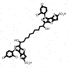 O=S(=O)(O)c1cc2oc3c(C(O)CCCCCCCCC(O)c4nn(-c5ccc(Cl)cc5Cl)c5c4oc4cc(S(=O)(=O)O)sc45)nn(-c4ccc(Cl)cc4Cl)c3c2s1